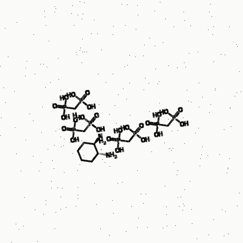 N[C@@H]1CCCC[C@H]1N.O=P(O)(O)CP(=O)(O)O.O=P(O)(O)CP(=O)(O)O.O=P(O)(O)CP(=O)(O)O.O=P(O)(O)CP(=O)(O)O